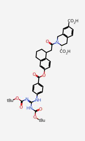 CC(C)(C)OC(=O)N=C(NC(=O)OC(C)(C)C)Nc1ccc(C(=O)Oc2ccc3c(c2)CCCC3CC(=O)N2Cc3cc(C(=O)O)ccc3C[C@@H]2C(=O)O)cc1